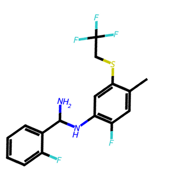 Cc1cc(F)c(NC(N)c2ccccc2F)cc1SCC(F)(F)F